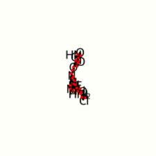 Nc1nccn2c(N3CCC4(CC3)CN(CCCCOc3ccc5c(c3)CN(C3CCC(=O)NC3=O)C5=O)C4)nc(-c3ccc(C(=O)Nc4cc(Cl)ccn4)cc3F)c12